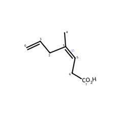 C=CC/C(C)=C\CC(=O)O